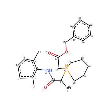 CCCC(C(=O)Nc1c(C)cccc1C)[PH]1(CC(=O)OCc2ccccc2)CCCCC1